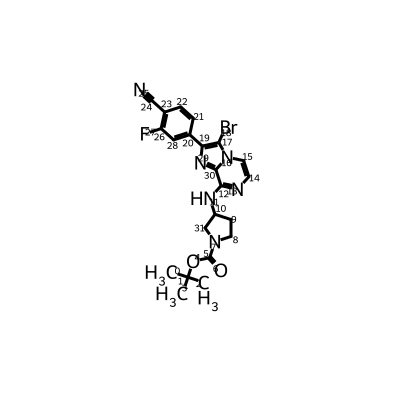 CC(C)(C)OC(=O)N1CCC(Nc2nccn3c(Br)c(-c4ccc(C#N)c(F)c4)nc23)C1